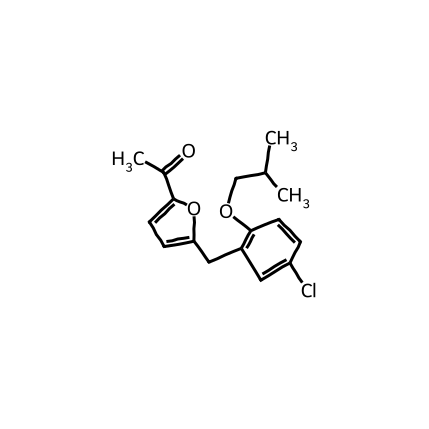 CC(=O)c1ccc(Cc2cc(Cl)ccc2OCC(C)C)o1